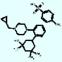 CC1(C)CC(c2ccccc2N2CCN(CC3CC3)CC2)CC(C)(C)C1.Cc1ccc(S(=O)(=O)O)cc1